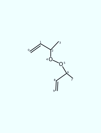 C=CC(C)OOC(C)C=C